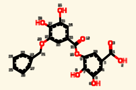 O=C(O)c1cc(O)c(O)c(OC(=O)c2cc(O)c(O)c(OCc3ccccc3)c2)c1